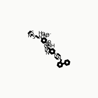 O=[N+]([O-])c1cc(S(=O)(=O)Nc2ncnc3cc(N4CCN(Cc5ccccc5-c5ccccc5)CC4)ccc23)ccc1NCCSc1nccs1